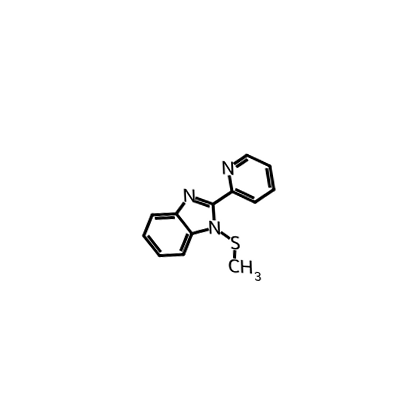 CSn1c(-c2ccccn2)nc2ccccc21